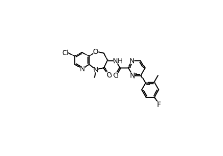 Cc1cc(F)ccc1-c1ccnc(C(=O)NC2COc3cc(Cl)cnc3N(C)C2=O)n1